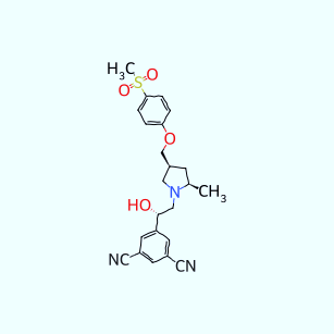 C[C@@H]1C[C@H](COc2ccc(S(C)(=O)=O)cc2)CN1C[C@@H](O)c1cc(C#N)cc(C#N)c1